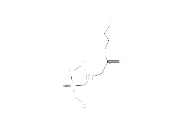 CCSP(=O)(CNCC(=O)OCCCl)SCC